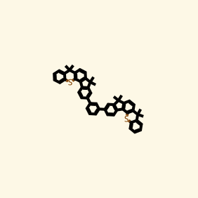 CC1(C)c2ccccc2Sc2c1ccc1c2-c2ccc(-c3cccc(-c4ccc5c(c4)C(C)(C)c4ccc6c(c4-5)Sc4ccccc4C6(C)C)c3)cc2C1(C)C